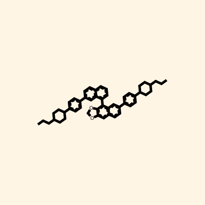 CCCC1CCC(c2ccc(-c3ccc4cccc(-c5c6c(cc7ccc(-c8ccc(C9CCC(CCC)CC9)cc8)cc57)OCO6)c4c3)cc2)CC1